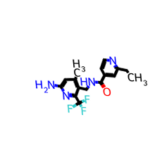 CCc1cc(C(=O)NCc2c(C)cc(N)nc2C(F)(F)F)ccn1